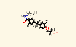 CCC(O)(CC)COc1ccc(C(CC)(CC)c2ccc(C(=O)N(C)CC(=O)O)c(C)c2)cc1C